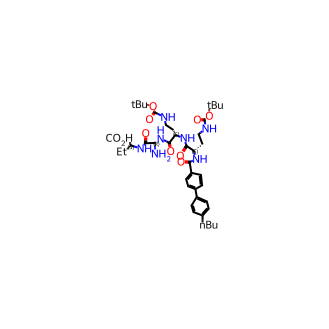 CCCCc1ccc(-c2ccc(C(=O)N[C@@H](CCNC(=O)OC(C)(C)C)C(=O)N[C@@H](CCNC(=O)OC(C)(C)C)C(=O)N[C@@H](N)C(=O)N[C@@H](CC)C(=O)O)cc2)cc1